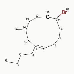 CCCC/C1=C/CCCC(Br)CCCC(C)C1